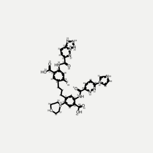 O=C(Nc1cc(CCCc2cc(C(=O)O)c(NC(=O)c3ccc4nnnn4n3)cc2F)c(N2CCOCC2)cc1C(=O)O)c1ccc(-n2ccnc2)nn1